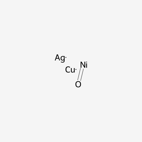 [Ag].[Cu].[O]=[Ni]